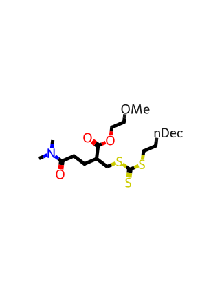 CCCCCCCCCCCCSC(=S)SCC(CCC(=O)N(C)C)C(=O)OCCOC